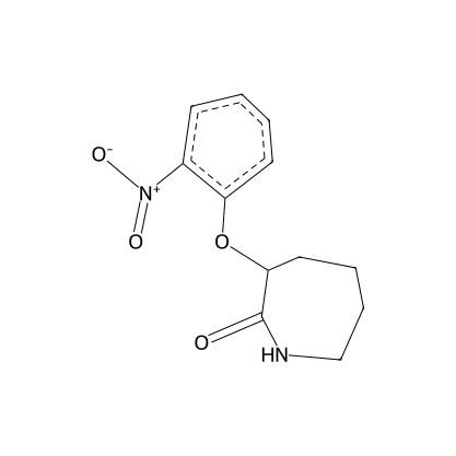 O=C1NCCCCC1Oc1ccccc1[N+](=O)[O-]